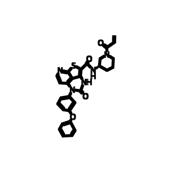 C=CC(=O)N1CCC[C@@H](NC(=O)c2sc3nccc4c3c2NC(=O)N4c2cccc(Oc3ccccc3)c2)C1